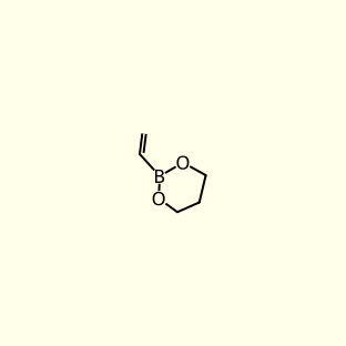 C=CB1OCCCO1